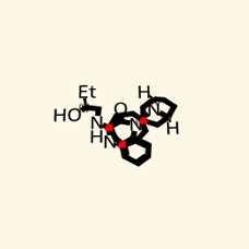 CC[C@H](O)CNc1nc2ccccc2n([C@H]2C[C@H]3CC[C@@H](C2)N3C2CCCCCCC2)c1=O